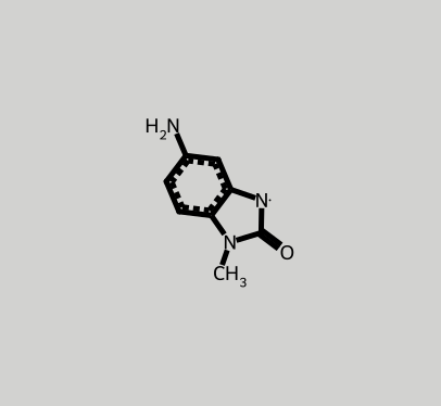 CN1C(=O)[N]c2cc(N)ccc21